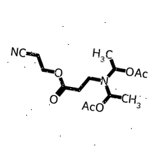 CC(=O)OC(C)N(CCC(=O)OCCC#N)C(C)OC(C)=O